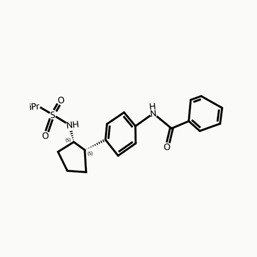 CC(C)S(=O)(=O)N[C@H]1CCC[C@H]1c1ccc(NC(=O)c2ccccc2)cc1